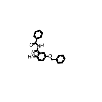 O=C(Nc1n[nH]c2ccc(OCc3ccccc3)cc12)c1ccccc1